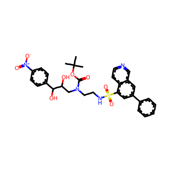 CC(C)(C)OC(=O)N(CCNS(=O)(=O)c1cc(-c2ccccc2)cc2cnccc12)CC(O)C(O)c1ccc([N+](=O)[O-])cc1